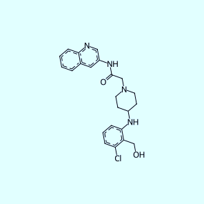 O=C(CN1CCC(Nc2cccc(Cl)c2CO)CC1)Nc1cnc2ccccc2c1